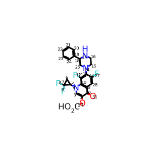 O=C(O)Oc1cn(C2CC2(F)F)c2c(F)c(N3CCNC(c4ccccc4)C3)c(F)cc2c1=O